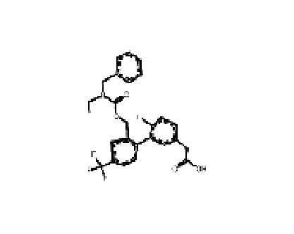 CCN(Cc1ccccc1)C(=O)OCc1cc(C(F)(F)F)ccc1-c1cc(CC(=O)O)ccc1F